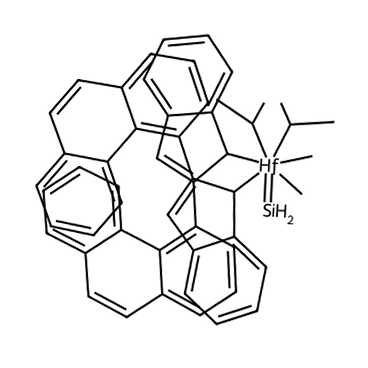 C[CH](C)[Hf]([CH3])([CH3])(=[SiH2])([CH](C)C)([CH]1C(c2cccc3ccc4ccccc4c23)=Cc2ccccc21)[CH]1C(c2cccc3ccc4ccccc4c23)=Cc2ccccc21